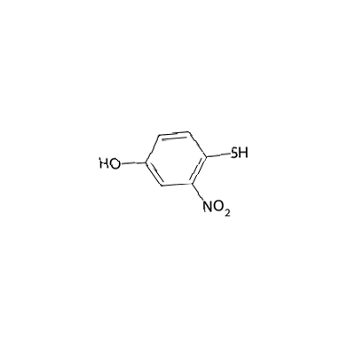 O=[N+]([O-])c1cc(O)ccc1S